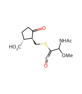 COC(NC(C)=O)C(=C=O)SC[C@@H]1C(=O)CC[C@H]1C(=O)O